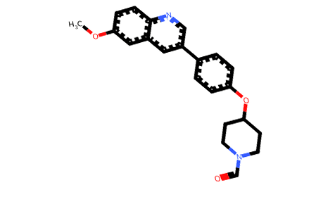 COc1ccc2ncc(-c3ccc(OC4CCN(C=O)CC4)cc3)cc2c1